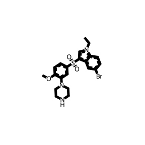 CCn1cc(S(=O)(=O)c2ccc(OC)c(N3CCNCC3)c2)c2cc(Br)ccc21